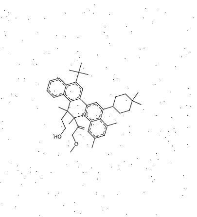 C=C(COC)C1(C)[n+]2c(cc(C3CCC(C)(C)CC3)c3c(C)cc(C)cc32)-c2cc(C(C)(C)C)c3ccccc3c2C1(C)CCO